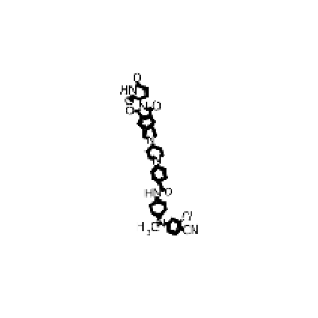 CN(c1ccc(C#N)c(Cl)c1)C1CCC(NC(=O)c2ccc(N3CCC(N4Cc5cc6c(cc5C4)C(=O)N([C@@H]4CCC(=O)NC4=O)C6=O)CC3)cc2)CC1